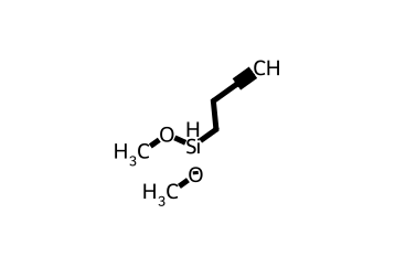 C#CCC[SiH](OC)OC